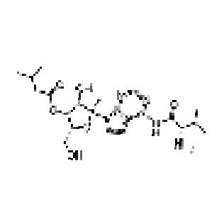 CC(C)CC(=O)O[C@H]1[C@@H](O)[C@](C)(c2ccc3c(NC(=O)[C@@H](N)C(C)C)ncnn23)O[C@@H]1CO